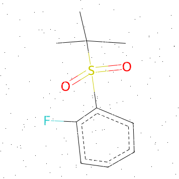 CC(C)(C)S(=O)(=O)c1ccccc1F